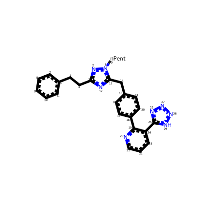 CCCCCn1nc(CCc2ccccc2)nc1Cc1ccc(-c2ncccc2-c2nnn[nH]2)cc1